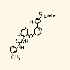 COC(=O)c1c[nH]c(-c2cc(Oc3cccc(F)c3NC(=O)Nc3cccc(C)c3)ccn2)c1